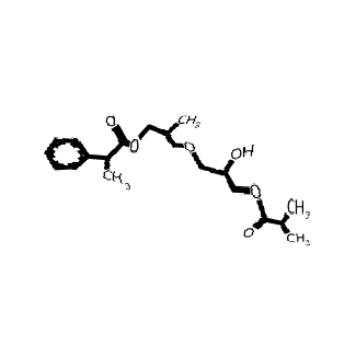 CC(COCC(O)COC(=O)C(C)C)COC(=O)C(C)c1ccccc1